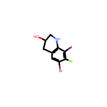 OC1CNc2c(cc(Br)c(F)c2I)C1